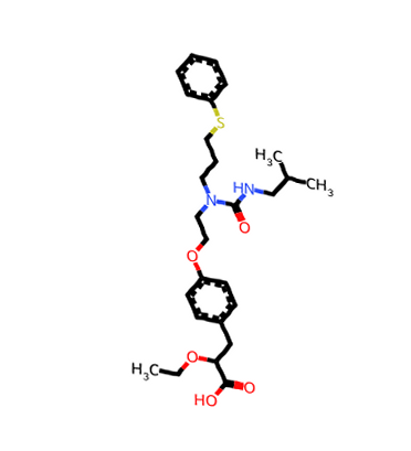 CCOC(Cc1ccc(OCCN(CCCSc2ccccc2)C(=O)NCC(C)C)cc1)C(=O)O